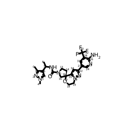 Cc1nn(C)cc1C(C)NC(=O)N1CC[C@]2(C1)OCCn1nc(-c3cnc(N)c(C(F)(F)F)c3)cc12